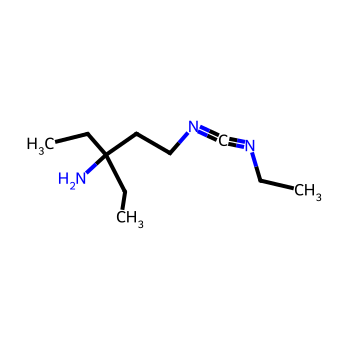 CCN=C=NCCC(N)(CC)CC